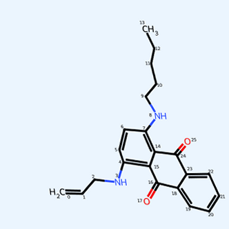 C=CCNc1ccc(NCCCCC)c2c1C(=O)c1ccccc1C2=O